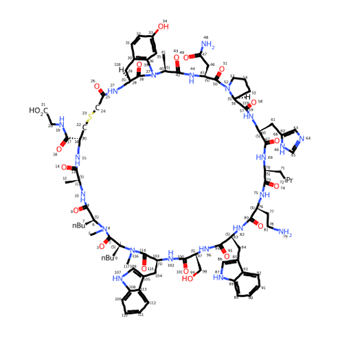 CCCC[C@H]1C(=O)N(C)[C@@H](CCCC)C(=O)N[C@@H](C)C(=O)N[C@H](C(=O)NCC(=O)O)CSCC(=O)N[C@H]2Cc3ccc(O)cc3N(C2=O)[C@@H](C)C(=O)N[C@@H](CC(N)=O)C(=O)N2CCC[C@H]2C(=O)N[C@@H](Cc2cnc[nH]2)C(=O)N[C@@H](CC(C)C)C(=O)N[C@@H](CCN)C(=O)N[C@@H](Cc2c[nH]c3ccccc23)C(=O)N[C@@H](CO)C(=O)N[C@@H](Cc2c[nH]c3ccccc23)C(=O)N1C